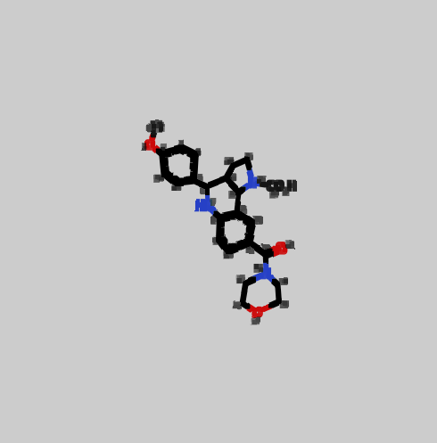 CCOc1ccc(C2Nc3ccc(C(=O)N4CCOCC4)cc3C3C2CCN3C(=O)O)cc1